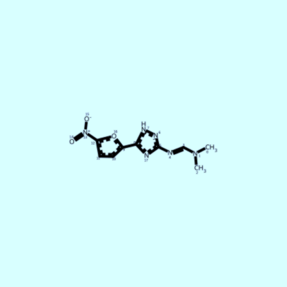 CN(C)/C=N/c1n[nH]c(-c2ccc([N+](=O)[O-])o2)n1